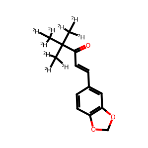 [2H]C([2H])([2H])C(C(=O)/C=C/c1ccc2c(c1)OCO2)(C([2H])([2H])[2H])C([2H])([2H])[2H]